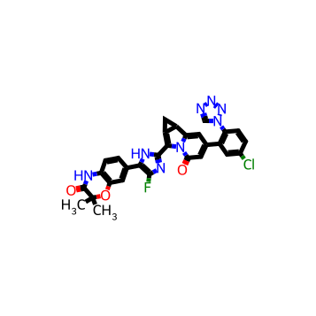 CC1(C)Oc2cc(-c3[nH]c(C4=C5CC5c5cc(-c6cc(Cl)ccc6-n6cnnn6)cc(=O)n54)nc3F)ccc2NC1=O